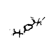 CN(C)C(C)(C)C(=O)c1ccc(SC(C)(C)C(N)=O)cc1